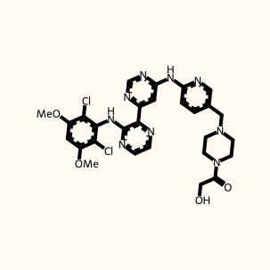 COc1cc(OC)c(Cl)c(Nc2nccnc2-c2cc(Nc3ccc(CN4CCN(C(=O)CO)CC4)cn3)ncn2)c1Cl